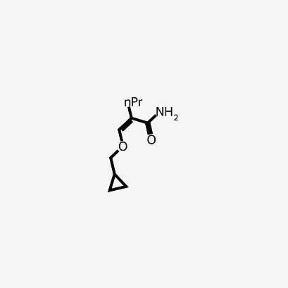 CCCC(=COCC1CC1)C(N)=O